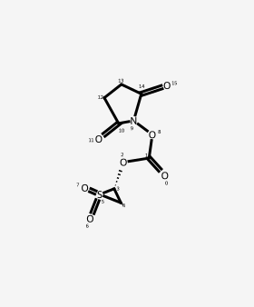 O=C(O[C@@H]1CS1(=O)=O)ON1C(=O)CCC1=O